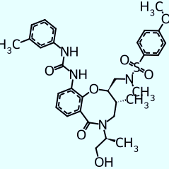 COc1ccc(S(=O)(=O)N(C)C[C@@H]2Oc3c(NC(=O)Nc4cccc(C)c4)cccc3C(=O)N([C@@H](C)CO)C[C@H]2C)cc1